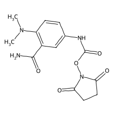 CN(C)c1ccc(NC(=O)ON2C(=O)CCC2=O)cc1C(N)=O